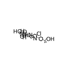 OCC1(c2ccc(-c3nc4cc(C[C@H]5CO[C@H]6[C@@H]5OC[C@H]6O)[nH]c4cc3Cl)cc2)CC1